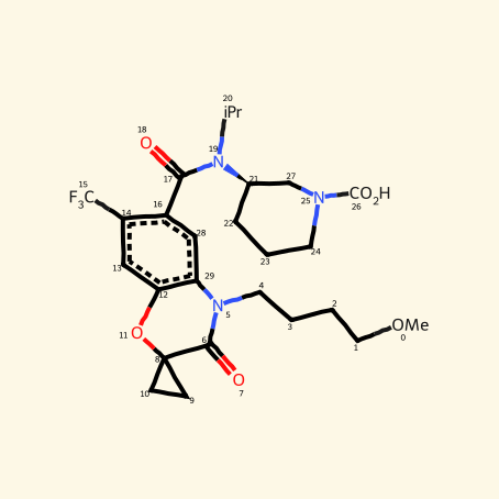 COCCCCN1C(=O)C2(CC2)Oc2cc(C(F)(F)F)c(C(=O)N(C(C)C)[C@@H]3CCCN(C(=O)O)C3)cc21